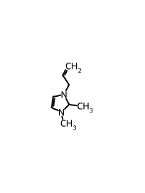 C=CCN1C=CN(C)C1C